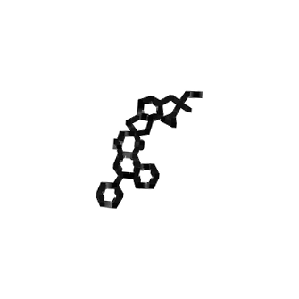 C=CC(C)(Cc1ccc2c(c1)CC1(C=Nc3cc(-c4ccccc4)c4ccccc4c3O1)C2)C1CC1